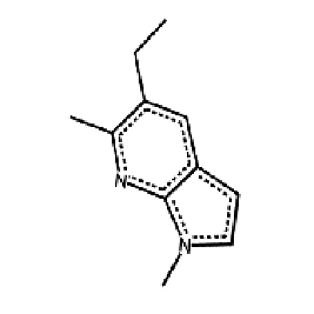 CCc1cc2ccn(C)c2nc1C